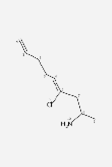 C=CCC/C=C(\Cl)CC(C)N